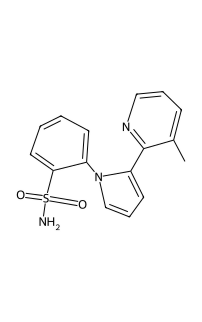 Cc1cccnc1-c1cccn1-c1ccccc1S(N)(=O)=O